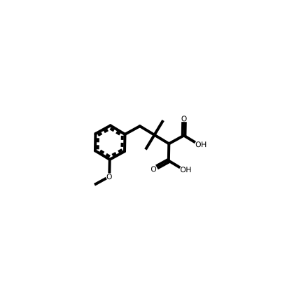 COc1cccc(CC(C)(C)C(C(=O)O)C(=O)O)c1